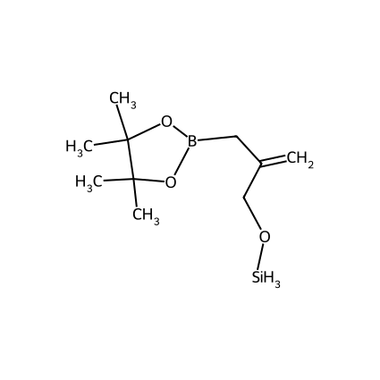 C=C(CO[SiH3])CB1OC(C)(C)C(C)(C)O1